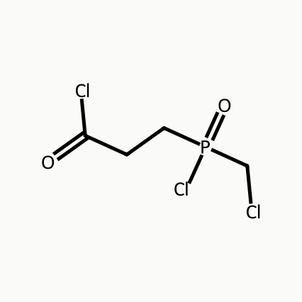 O=C(Cl)CCP(=O)(Cl)CCl